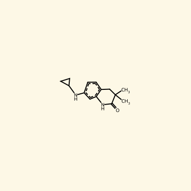 CC1(C)Cc2ccc(NC3CC3)cc2NC1=O